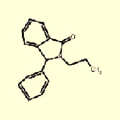 CCCN1C(=O)c2ccccc2C1c1ccccc1